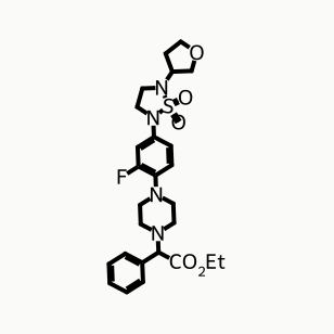 CCOC(=O)C(c1ccccc1)N1CCN(c2ccc(N3CCN(C4CCOC4)S3(=O)=O)cc2F)CC1